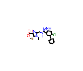 CCn1c(CNc2n[nH]c3cc(Cl)c(-c4ccccc4)cc23)nc(C(=O)O)c1SC